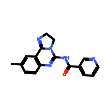 Cc1ccc2c(c1)C1=NCCN1C(NC(=O)c1cccnc1)=N2